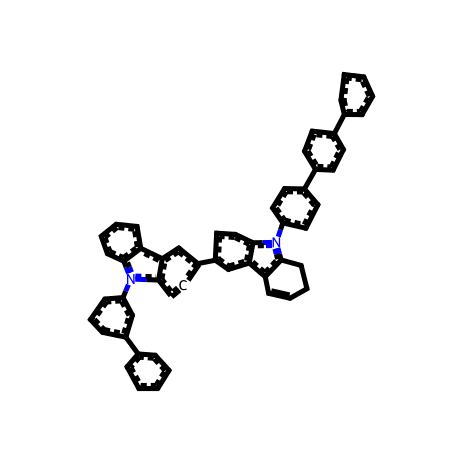 C1=Cc2c(n(-c3ccc(-c4ccc(-c5ccccc5)cc4)cc3)c3ccc(-c4ccc5c(c4)c4ccccc4n5-c4cccc(-c5ccccc5)c4)cc23)CC1